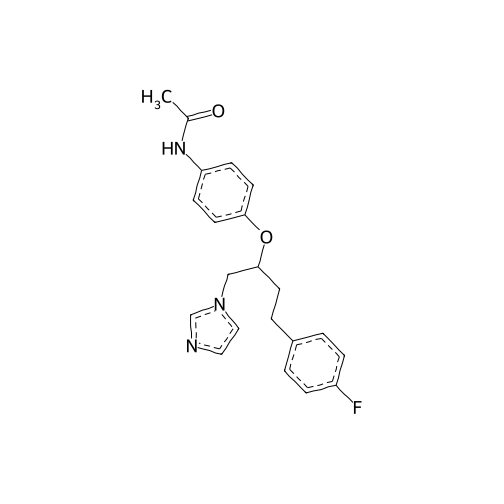 CC(=O)Nc1ccc(OC(CCc2ccc(F)cc2)Cn2ccnc2)cc1